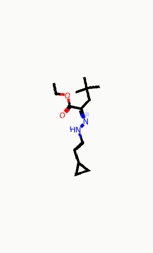 CCOC(=O)/C(CC(C)(C)C)=N\NCCC1CC1